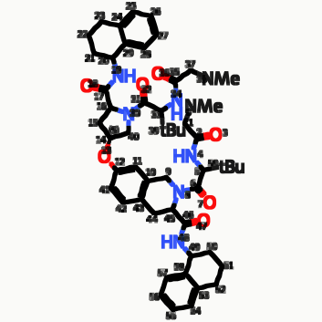 CNCC(=O)NC(C(=O)N1Cc2cc(O[C@H]3CC(C(=O)NC4CCCc5ccccc54)N(C(=O)C(NC(=O)CNC)C(C)(C)C)C3)ccc2CC1C(=O)NC1CCCc2ccccc21)C(C)(C)C